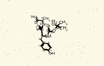 C[C@@H](NC(=O)[C@H](Cc1ccc(O)cc1)NC(=O)OC(C)(C)C)C(=O)O